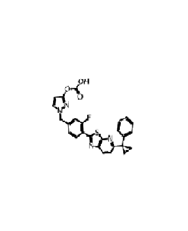 O=C(O)Oc1ccn(Cc2ccc(-c3nc4ccc(C5(c6ccccc6)CC5)nc4s3)c(F)c2)n1